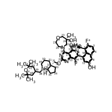 C#Cc1c(F)ccc2cc(O)cc(-c3nc(OC)c4c(N5CCOC[C@@](C)(O)C5)nc(OC[C@]56CCC[C@H]5N(CC5CC(C)(C)OC(C)(C)C5)CCC6)nc4c3F)c12